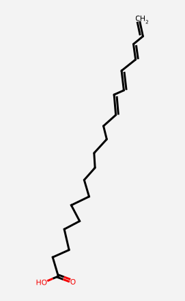 C=CC=CC=CC=CCCCCCCCCCCCC(=O)O